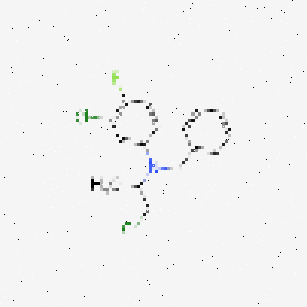 CC(CCl)N(Cc1ccccc1)c1ccc(F)c(Cl)c1